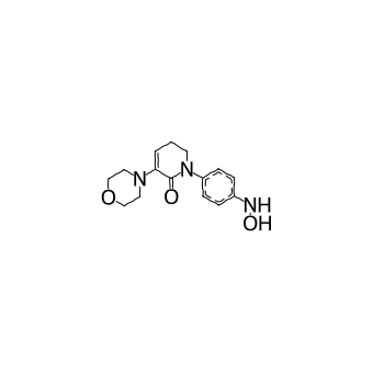 O=C1C(N2CCOCC2)=CCCN1c1ccc(NO)cc1